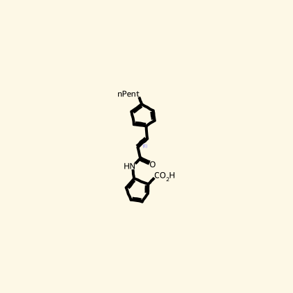 CCCCCc1ccc(/C=C/C(=O)Nc2ccccc2C(=O)O)cc1